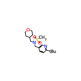 CC(C)(C)c1ccc(CN(CC2CCOCC2)S(C)(=O)=O)cn1